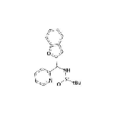 CC(C)(C)[S+]([O-])NC(c1ccccn1)c1cc2ccccc2o1